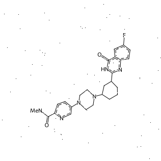 CNC(=O)c1ccc(N2CCN(C3CCCC(c4nc5ccc(F)cc5c(=O)[nH]4)C3)CC2)cn1